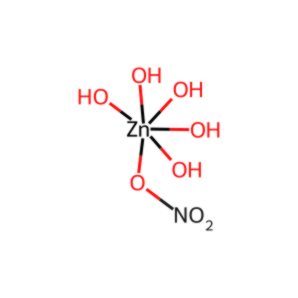 O=[N+]([O-])[O][Zn]([OH])([OH])([OH])([OH])[OH]